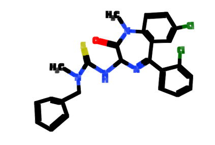 CN(Cc1ccccc1)C(=S)NC1N=C(c2ccccc2Cl)c2cc(Cl)ccc2N(C)C1=O